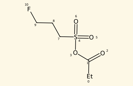 CCC(=O)OS(=O)(=O)CCCF